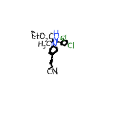 CCOC(=O)C1=C(C)N(c2ccc(C#CCCC#N)cc2)C(c2ccc(Cl)cc2Cl)N1